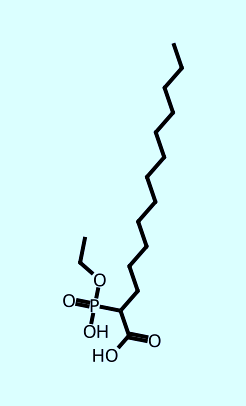 CCCCCCCCCCCCC(C(=O)O)P(=O)(O)OCC